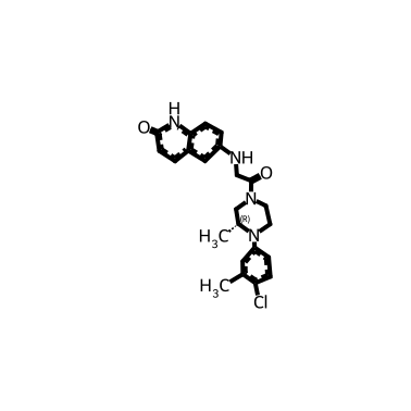 Cc1cc(N2CCN(C(=O)CNc3ccc4[nH]c(=O)ccc4c3)C[C@H]2C)ccc1Cl